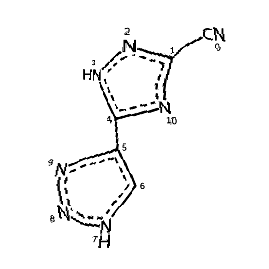 N#Cc1n[nH]c(-c2c[nH]nn2)n1